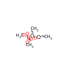 C/C=C/c1ccc(Oc2cc(/C=C/C)cc(OC(=O)COC)c2OC(=O)COC)cc1